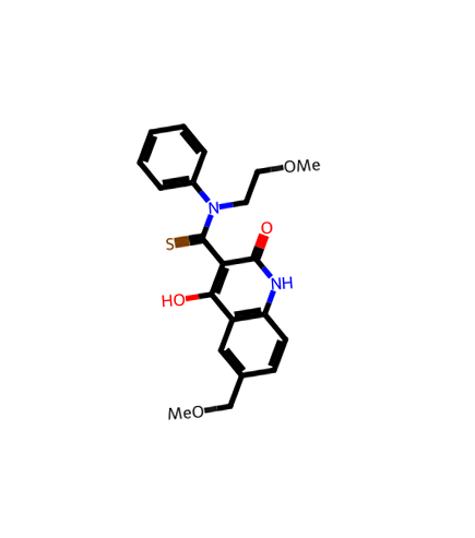 COCCN(C(=S)c1c(O)c2cc(COC)ccc2[nH]c1=O)c1ccccc1